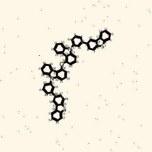 c1cc(-c2ccc3sc4ccccc4c3c2)cc(-n2c3ccccc3c3c(Oc4cccc5c4c4ccccc4n5-c4cccc(-c5ccc6sc7ccccc7c6c5)c4)cccc32)c1